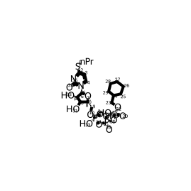 CCCSc1ccn([C@@H]2O[C@H](COP(=O)(O)OP(=O)(O)OP(=O)(O)OCC3CCCCC3)C(O)[C@@H]2O)c(=O)n1